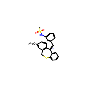 COc1ccc2c(c1)CSc1ccccc1/C2=C/c1cccc(NS(C)(=O)=O)c1